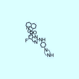 O=S(=O)(c1cccc2cccnc12)n1cc(F)c2cnc(Nc3ccc(N4CCNCC4)cc3)nc21